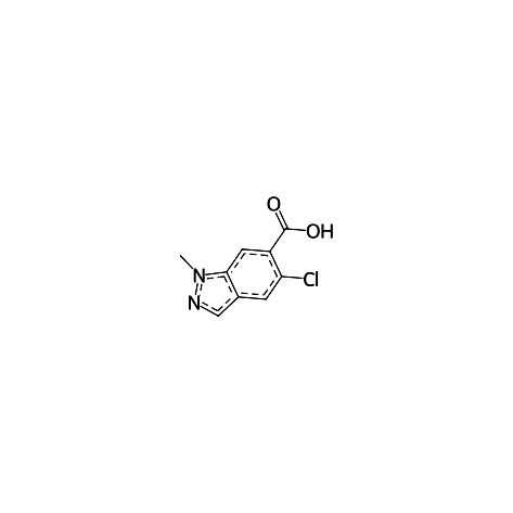 Cn1ncc2cc(Cl)c(C(=O)O)cc21